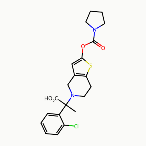 CC(C(=O)O)(c1ccccc1Cl)N1CCc2sc(OC(=O)N3CCCC3)cc2C1